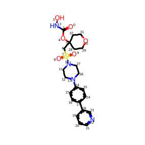 O=C(NO)OC1(CS(=O)(=O)N2CCN(c3ccc(-c4cccnc4)cc3)CC2)CCOCC1